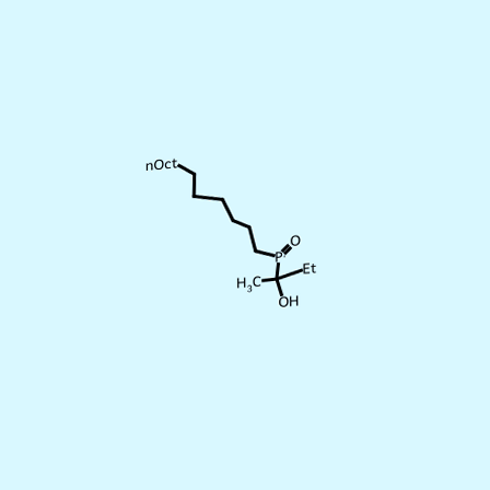 CCCCCCCCCCCCCC[P](=O)C(C)(O)CC